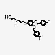 OCCNCCCOc1ccc(OCc2ccc(F)cc2)c(OCc2ccc(F)cc2)c1